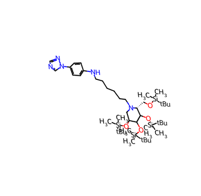 CC(C)(C)[Si](C)(C)OC[C@@H]1C(O[Si](C)(C)C(C)(C)C)C(O[Si](C)(C)C(C)(C)C)C(O[Si](C)(C)C(C)(C)C)CN1CCCCCCNc1ccc(-n2cncn2)cc1